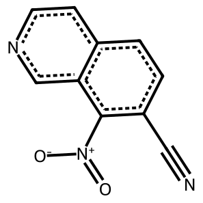 N#Cc1ccc2ccncc2c1[N+](=O)[O-]